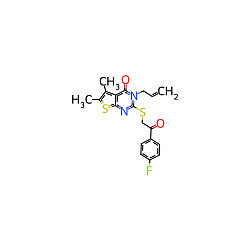 C=CCn1c(SCC(=O)c2ccc(F)cc2)nc2sc(C)c(C)c2c1=O